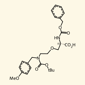 COc1ccc(CN(CCOC[C@H](NC(=O)OCc2ccccc2)C(=O)O)C(=O)OC(C)(C)C)cc1